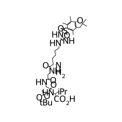 Cc1c(C)c(S(=O)(=O)NC(=N)NCCCC[C@H](N)C(=O)NCC(=O)N[C@@H](CC(=O)OC(C)(C)C)C(=O)N[C@H](C(=O)O)C(C)C)c(C)c2c1OC(C)(C)C2